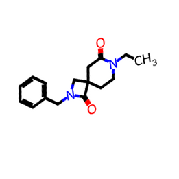 CCN1CCC2(CC1=O)CN(Cc1ccccc1)C2=O